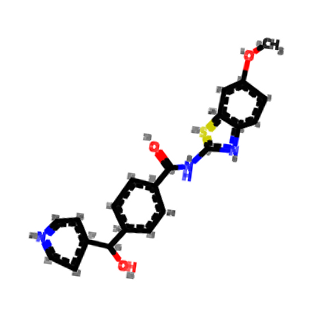 COc1ccc2nc(NC(=O)c3ccc(C(O)c4ccncc4)cc3)sc2c1